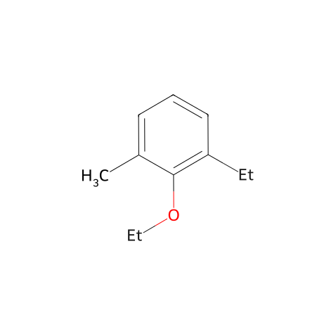 CCOc1c(C)cccc1CC